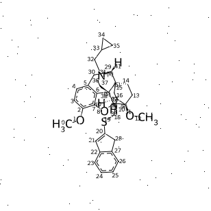 COc1ccc2c3c1O[C@H]1[C@@]4(OC)CC[C@@]5(C[C@@H]4CSC4=Cc6ccccc6C4)[C@@H](C2)N(CC2CC2)CC[C@]315